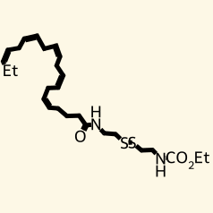 CC/C=C\C/C=C\C/C=C\C/C=C\C/C=C\CCCC(=O)NCCSSCCNC(=O)OCC